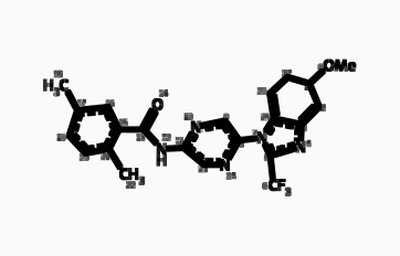 COC1C=c2nc(C(F)(F)F)n(-c3cnc(NC(=O)c4cc(C)ccc4C)cn3)c2=CC1